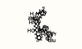 CC[C@H](C)[C@H](NC(=O)CCC(O)C(Cc1ccccc1)NC(=O)C(NC(=O)[C@H](CC(C)C)NC(=O)OC(C)(C)C)C(C)C)C(=O)NCc1cnc(C)nc1N